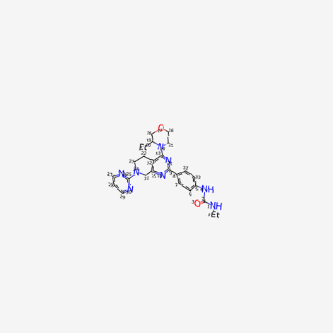 CCNC(=O)Nc1ccc(-c2nc3c(c(N4CCOCC4CC)n2)CCN(c2ncccn2)C3)cc1